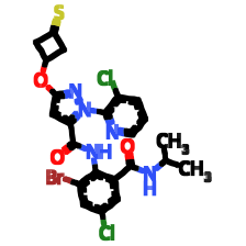 CC(C)NC(=O)c1cc(Cl)cc(Br)c1NC(=O)c1cc(OC2CC(=S)C2)nn1-c1ncccc1Cl